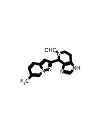 O=CN1CCc2[nH]cnc2C1c1cc2ccc(C(F)(F)F)cn2n1